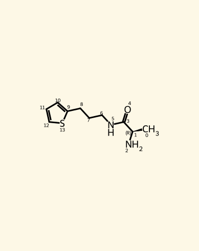 C[C@@H](N)C(=O)NCCCc1cccs1